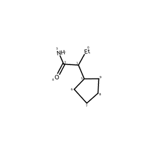 CCC(C([NH])=O)C1CCCC1